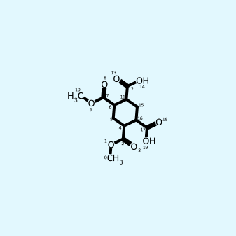 COC(=O)C1CC(C(=O)OC)C(C(=O)O)CC1C(=O)O